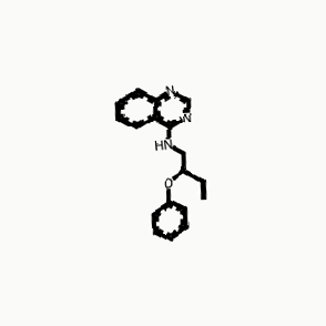 CCC(CNc1ncnc2ccccc12)Oc1ccccc1